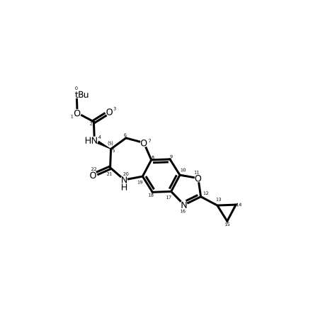 CC(C)(C)OC(=O)N[C@H]1COc2cc3oc(C4CC4)nc3cc2NC1=O